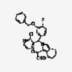 O=CC(=O)c1c2ccccc2cn1C(c1ccc(F)c(OCc2ccccc2)c1)c1nccnc1Cl